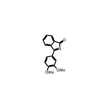 COc1ccc(C2=NC(=O)c3ccccc32)cc1OC